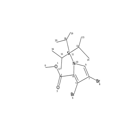 COC(=O)c1c(Br)c(Br)cn1[Si](C(C)C)(C(C)C)C(C)C